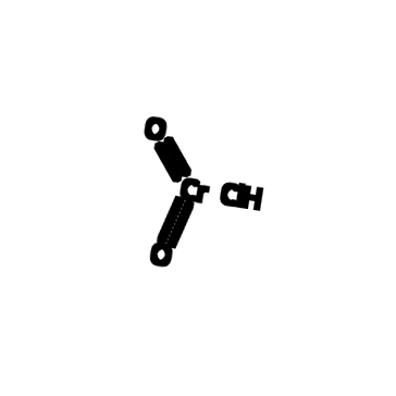 Cl.[O]=[Cr]=[O]